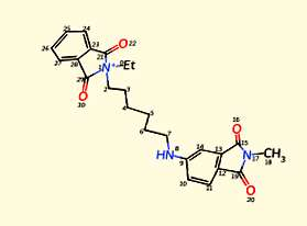 CC[N+]1(CCCCCCNc2ccc3c(c2)C(=O)N(C)C3=O)C(=O)c2ccccc2C1=O